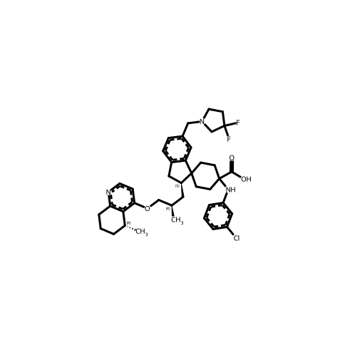 C[C@@H](COc1ccnc2c1[C@H](C)CCC2)C[C@H]1Cc2ccc(CN3CCC(F)(F)C3)cc2C12CCC(Nc1cccc(Cl)c1)(C(=O)O)CC2